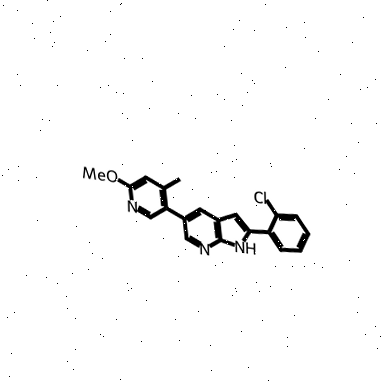 COc1cc(C)c(-c2cnc3[nH]c(-c4ccccc4Cl)cc3c2)cn1